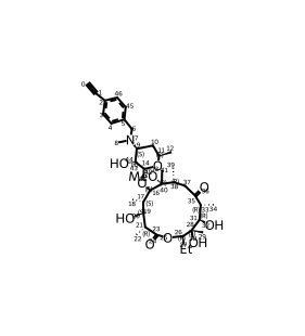 C#Cc1ccc(CN(C)[C@H]2C[C@@H](C)O[C@@H](O[C@@H]3[C@@H](C)[C@H](O)[C@@H](C)C(=O)O[C@H](CC)[C@@](C)(O)[C@H](O)[C@@H](C)C(=O)C[C@@H](C)[C@@]3(C)OC)[C@@H]2O)cc1